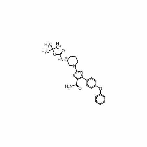 CC(C)(C)OC(=O)N[C@@H]1CCCN(c2nc(-c3ccc(Oc4ccccc4)cc3)c(C(N)=O)s2)C1